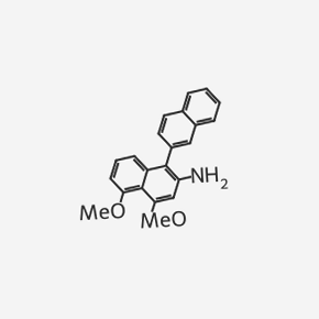 COc1cccc2c(-c3ccc4ccccc4c3)c(N)cc(OC)c12